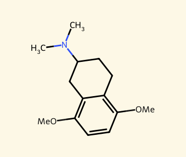 COc1ccc(OC)c2c1CCC(N(C)C)C2